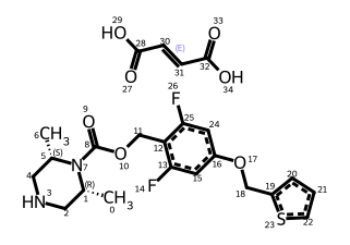 C[C@@H]1CNC[C@H](C)N1C(=O)OCc1c(F)cc(OCc2cccs2)cc1F.O=C(O)/C=C/C(=O)O